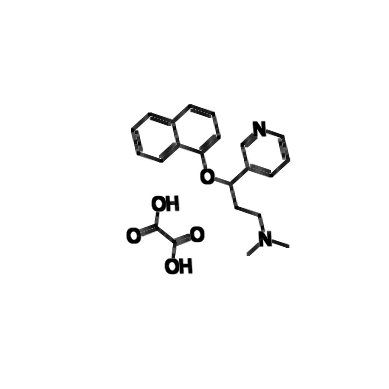 CN(C)CCC(Oc1cccc2ccccc12)c1cccnc1.O=C(O)C(=O)O